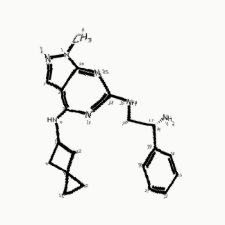 Cn1ncc2c(NC3CC4(CC4)C3)nc(NC[C@H](N)c3ccccc3)nc21